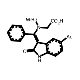 CON(CC(=O)O)/C(=C1/C(=O)Nc2ccc(C(C)=O)cc21)c1ccccc1